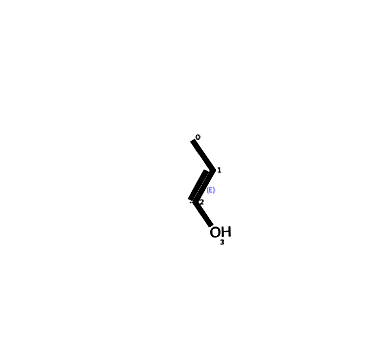 C/C=[C]/O